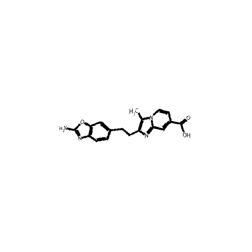 Cc1c(CCc2ccc3nc(N)oc3c2)nc2cc(C(=O)O)ccn12